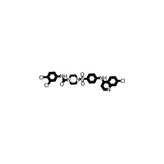 O=C(Nc1ccc(Cl)c(Cl)c1)N1CCN(S(=O)(=O)c2ccc(Nc3ccnc4cc(Cl)ccc34)cc2)CC1